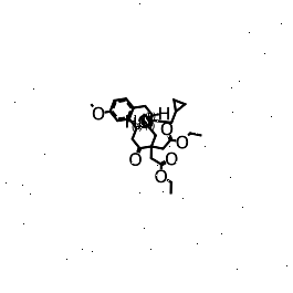 CCOC(=O)CC1(CC(=O)OCC)C[C@@]2(O)[C@H]3Cc4ccc(OC)cc4[C@@]2(CCN3CC2CC2)CC1=O